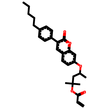 C=CC(=O)OC(C)(C)CC(C)Oc1ccc2cc(-c3ccc(CCCCC)cc3)c(=O)oc2c1